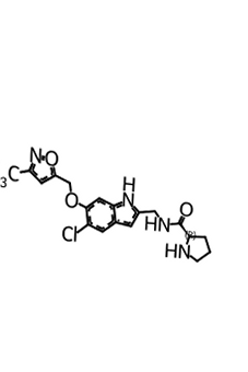 Cc1cc(COc2cc3[nH]c(CNC(=O)[C@H]4CCCN4)cc3cc2Cl)on1